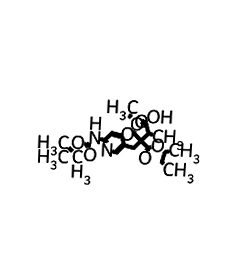 CCOC(=O)C(Cc1ccc(NC(=O)OC(C)(C)C)nc1)(C(=O)OC(C)CC)C(C)C(=O)O